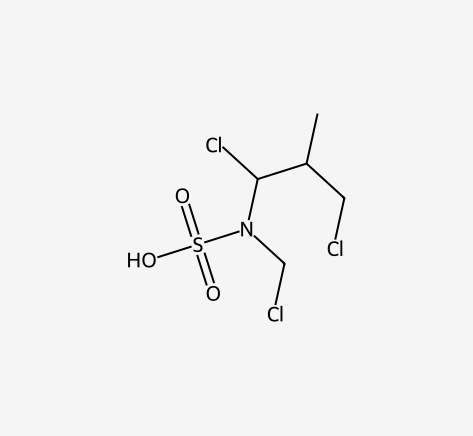 CC(CCl)C(Cl)N(CCl)S(=O)(=O)O